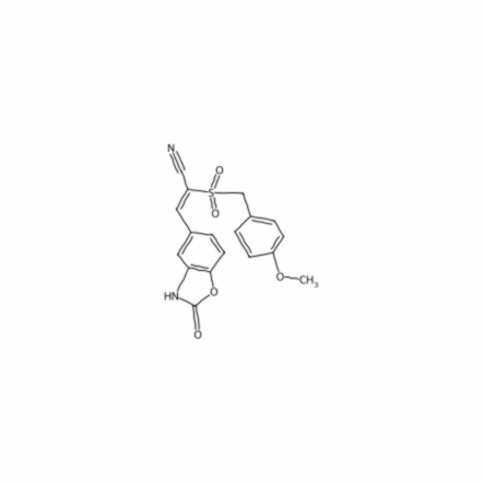 COc1ccc(CS(=O)(=O)C(C#N)=Cc2ccc3oc(=O)[nH]c3c2)cc1